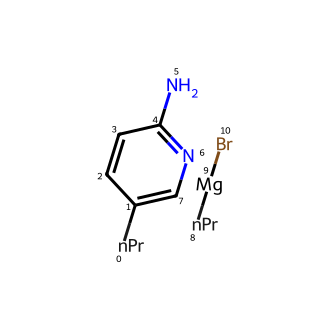 CCCc1ccc(N)nc1.CC[CH2][Mg][Br]